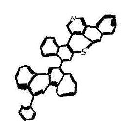 c1ccc(-c2cc3c4ccccc4c(-c4cc5c(c6ccccc46)-c4cncc6c4c(cc4ccccc46)S5)cc3c3ccccc23)cc1